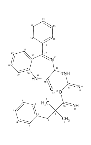 CC(C)(Cc1ccccc1)C(=N)OC(=N)NC1N=C(c2ccccc2)c2ccccc2NC1=O